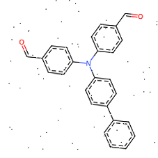 O=Cc1ccc(N(c2ccc(C=O)cc2)c2ccc(-c3ccccc3)cc2)cc1